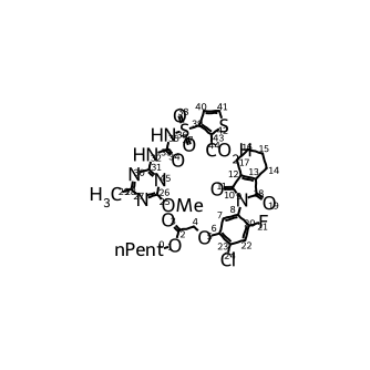 CCCCCOC(=O)COc1cc(N2C(=O)C3=C(CCCC3)C2=O)c(F)cc1Cl.COc1nc(C)nc(NC(=O)NS(=O)(=O)c2ccsc2C(=O)O)n1